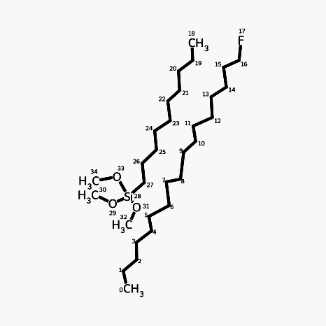 CCCCCCCCCCCCCCCCCF.CCCCCCCCCC[Si](OC)(OC)OC